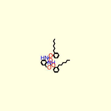 CCCCCCc1ccccc1OC(=O)Nc1cccc(C)c1NC(=O)Oc1ccccc1CCCCCC